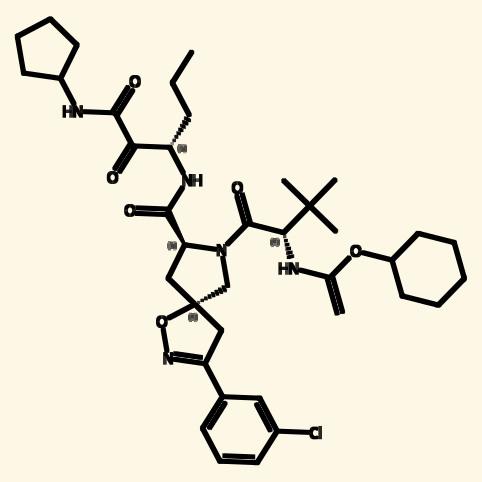 C=C(N[C@H](C(=O)N1C[C@@]2(CC(c3cccc(Cl)c3)=NO2)C[C@H]1C(=O)N[C@@H](CCC)C(=O)C(=O)NC1CCCC1)C(C)(C)C)OC1CCCCC1